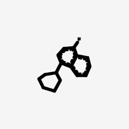 Fc1ccc([C]2CCCCC2)c2ccccc12